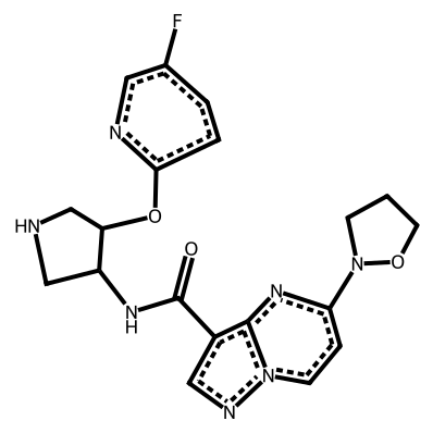 O=C(NC1CNCC1Oc1ccc(F)cn1)c1cnn2ccc(N3CCCO3)nc12